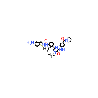 Cc1c(NC(=O)c2cc3cc(N)ccc3s2)cccc1-c1cn(C)c(=O)c(Nc2ccc(C(=O)N3CCCCC3)cc2)n1